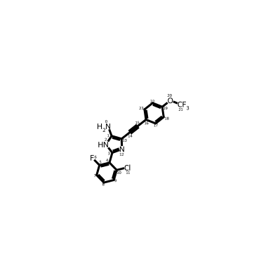 Nc1[nH]c(-c2c(F)cccc2Cl)nc1C#Cc1ccc(OC(F)(F)F)cc1